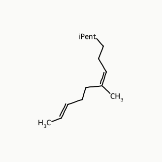 CC=CCCC(C)=CCCC(C)[CH]CC